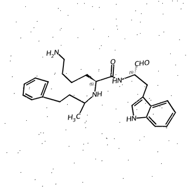 CC(CCc1ccccc1)N[C@@H](CCCCN)C(=O)N[C@H](C=O)Cc1c[nH]c2ccccc12